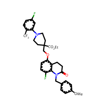 CCOC(=O)C1(COc2ccc(F)c3c2CCC(=O)N3Cc2ccc(OC)cc2)CCN(c2cc(F)ccc2C(F)(F)F)CC1